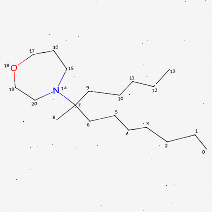 CCCCCCCC(C)(CCCCC)N1CCCOCC1